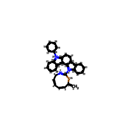 C=C1/C=C\C=C/C/N=C(/n2c3ccccc3c3ccc4c(c5ccccc5n4-c4ccccc4)c32)S1